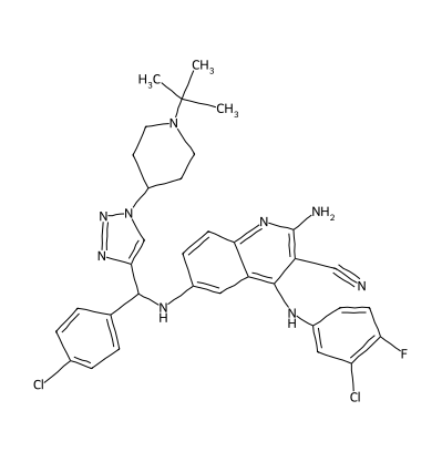 CC(C)(C)N1CCC(n2cc(C(Nc3ccc4nc(N)c(C#N)c(Nc5ccc(F)c(Cl)c5)c4c3)c3ccc(Cl)cc3)nn2)CC1